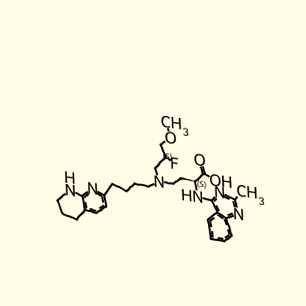 COC[C@@H](F)CN(CCCCc1ccc2c(n1)NCCC2)CC[C@H](Nc1nc(C)nc2ccccc12)C(=O)O